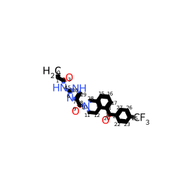 C=CC(=O)Nc1nc(C(=O)N2CCc3c(cccc3C(=O)c3ccc(C(F)(F)F)cc3)C2)c[nH]1